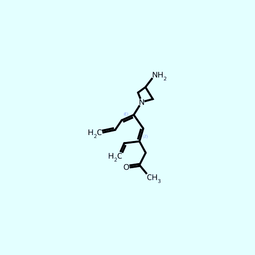 C=C/C=C(\C=C(/C=C)CC(C)=O)N1CC(N)C1